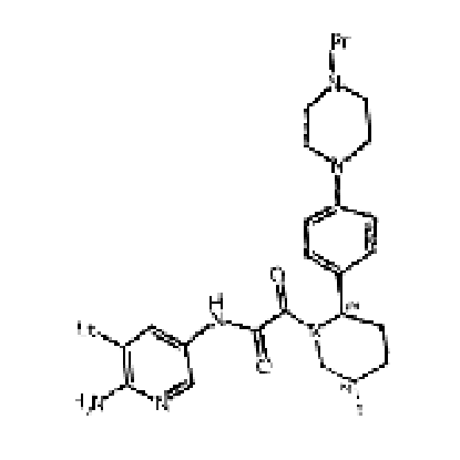 CCc1cc(NC(=O)C(=O)N2C[C@@H](C)CC[C@@H]2c2ccc(N3CCN(C(C)C)CC3)cc2)cnc1N